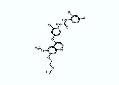 COCCOc1cc2nccc(Oc3ccc(NC(=O)Nc4ccc(F)cc4F)c(Cl)c3)c2cc1OC